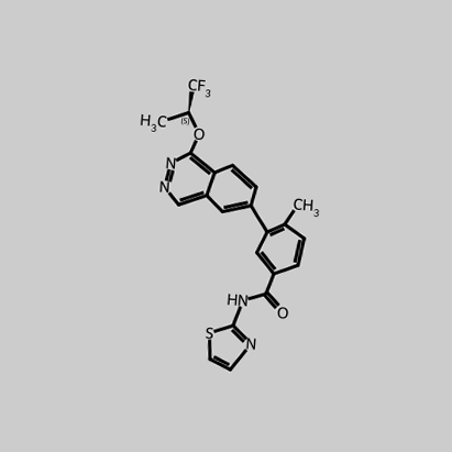 Cc1ccc(C(=O)Nc2nccs2)cc1-c1ccc2c(O[C@@H](C)C(F)(F)F)nncc2c1